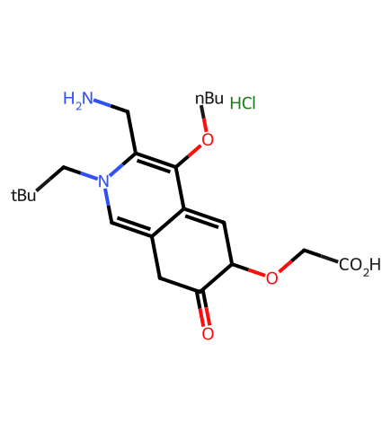 CCCCOC1=C(CN)N(CC(C)(C)C)C=C2CC(=O)C(OCC(=O)O)C=C21.Cl